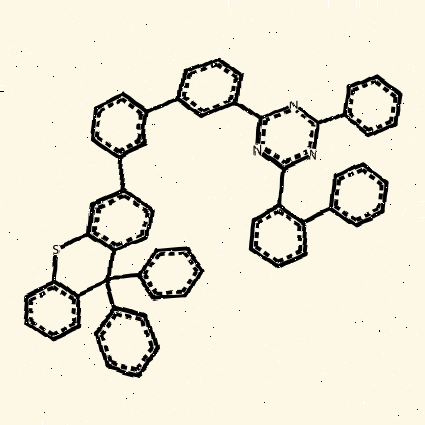 c1ccc(-c2nc(-c3cccc(-c4cccc(-c5ccc6c(c5)Sc5ccccc5C6(c5ccccc5)c5ccccc5)c4)c3)nc(-c3ccccc3-c3ccccc3)n2)cc1